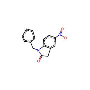 O=C1Cc2cc([N+](=O)[O-])ccc2N1Cc1ccccc1